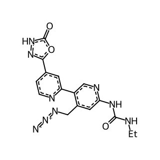 CCNC(=O)Nc1cc(CN=[N+]=[N-])c(-c2cc(-c3n[nH]c(=O)o3)ccn2)cn1